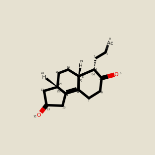 CC(=O)CC[C@@H]1C(=O)CCC2=C3CC(=O)C[C@@H]3CC[C@@H]21